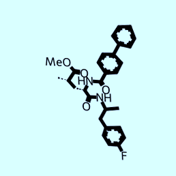 COC(=O)[C@@H](C)C[C@H](NC(=O)c1ccc(-c2ccccc2)cc1)C(=O)NC(C)Cc1ccc(F)cc1